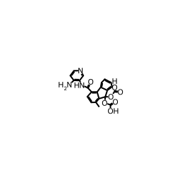 Cc1ccc(C(=O)Nc2cnccc2N)c2c1C(OC(=O)O)(OC(=O)O)c1ccccc1-2